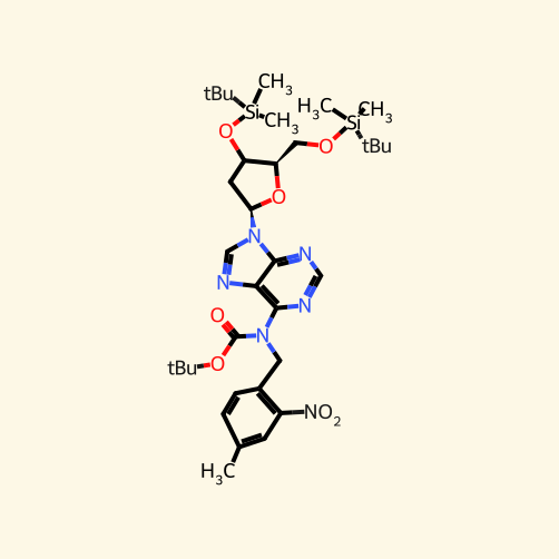 Cc1ccc(CN(C(=O)OC(C)(C)C)c2ncnc3c2ncn3[C@H]2CC(O[Si](C)(C)C(C)(C)C)[C@@H](CO[Si](C)(C)C(C)(C)C)O2)c([N+](=O)[O-])c1